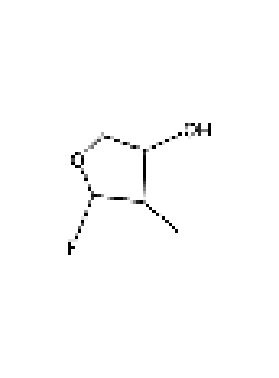 CC1C(O)COC1F